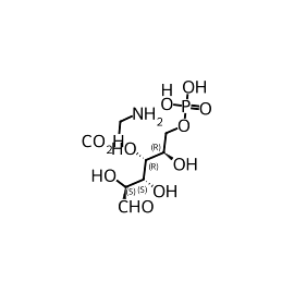 NCC(=O)O.O=C[C@@H](O)[C@@H](O)[C@H](O)[C@H](O)COP(=O)(O)O